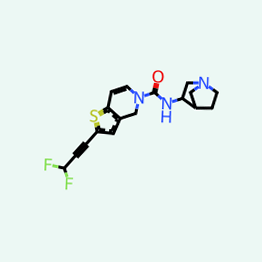 O=C(NC1CN2CCC1C2)N1C=Cc2sc(C#CC(F)F)cc2C1